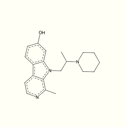 Cc1nccc2c3ccc(O)cc3n(CC(C)N3CCCCC3)c12